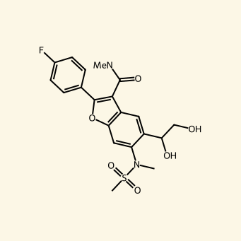 CNC(=O)c1c(-c2ccc(F)cc2)oc2cc(N(C)S(C)(=O)=O)c(C(O)CO)cc12